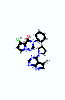 CC(=O)c1c[nH]c2ncnc(N3CCC[C@H]3c3nn4ccc(Cl)c4c(=O)n3-c3ccccc3)c12